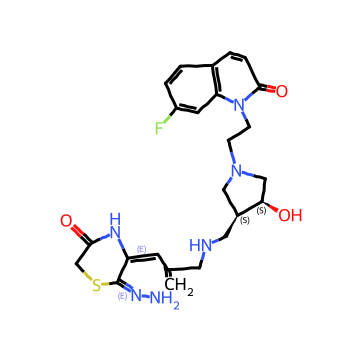 C=C(/C=C1/NC(=O)CS/C1=N/N)CNC[C@H]1CN(CCn2c(=O)ccc3ccc(F)cc32)C[C@H]1O